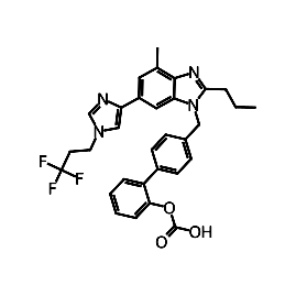 CCCc1nc2c(C)cc(-c3cn(CCC(F)(F)F)cn3)cc2n1Cc1ccc(-c2ccccc2OC(=O)O)cc1